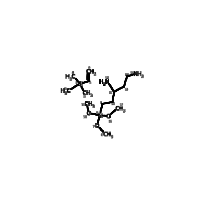 C=C[Si](C)(C)C.CO[Si](CCC(N)CCN)(OC)OC